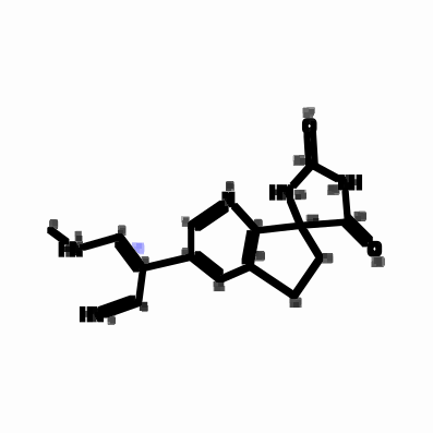 CN/C=C(\C=N)c1cnc2c(c1)CCC21NC(=O)NC1=O